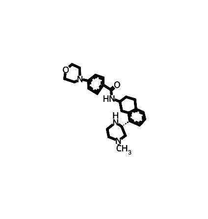 CN1CCN[C@H](c2cccc3c2CC(NC(=O)c2ccc(N4CCOCC4)cc2)CC3)C1